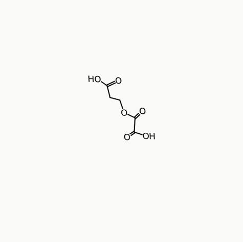 O=C(O)CCOC(=O)C(=O)O